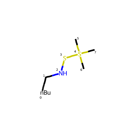 CCCCCNSS(C)(C)C